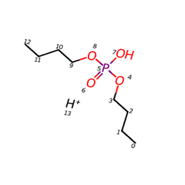 CCCCOP(=O)(O)OCCCC.[H+]